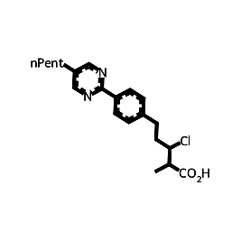 CCCCCc1cnc(-c2ccc(CCC(Cl)C(C)C(=O)O)cc2)nc1